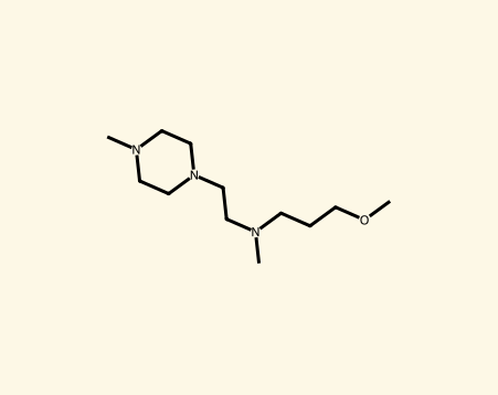 COCCCN(C)CCN1CCN(C)CC1